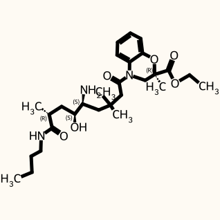 CCCCNC(=O)[C@H](C)C[C@H](O)[C@@H](N)CC(C)(C)CC(=O)N1C[C@](C)(C(=O)OCC)Oc2ccccc21